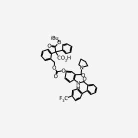 CCC(C)OC(=O)C(C(=O)O)(c1ccccc1)c1ccccc1COC(=O)Oc1ccc(NC(=O)c2ccccc2-c2ccc(C(F)(F)F)cc2)c(C(=O)N2CCCC2)c1